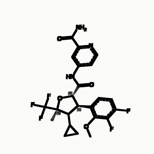 COc1c([C@H]2C(C3CC3)[C@@](C)(C(F)(F)F)O[C@@H]2C(=O)Nc2ccnc(C(N)=O)c2)ccc(F)c1F